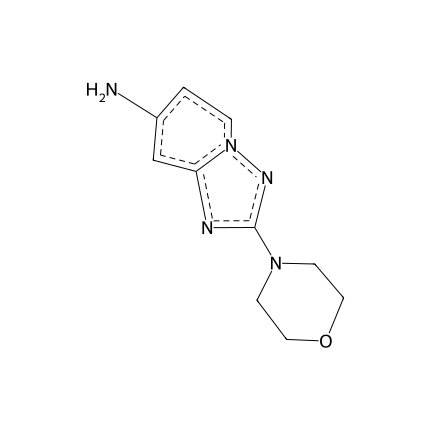 Nc1ccn2nc(N3CCOCC3)nc2c1